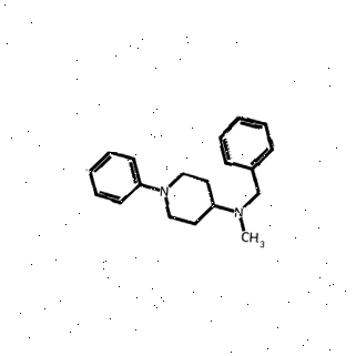 CN(Cc1ccccc1)C1CCN(c2cc[c]cc2)CC1